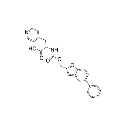 O=C(NC(Cc1ccncc1)C(=O)O)OCc1cc2cc(-c3ccccc3)ccc2o1